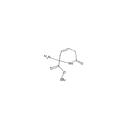 CC(C)(C)OC(=O)C1(N)C=CCC(=O)N1